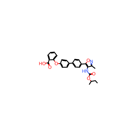 CCC(C)OC(=O)Nc1c(C)noc1-c1ccc(-c2ccc(Oc3ccccc3C(=O)O)cc2)cc1